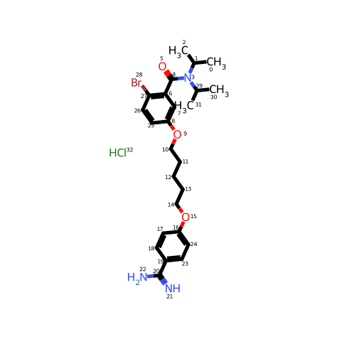 CC(C)N(C(=O)c1cc(OCCCCCOc2ccc(C(=N)N)cc2)ccc1Br)C(C)C.Cl